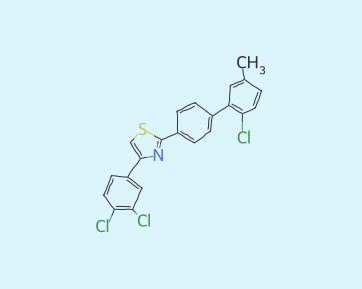 Cc1ccc(Cl)c(-c2ccc(-c3nc(-c4ccc(Cl)c(Cl)c4)cs3)cc2)c1